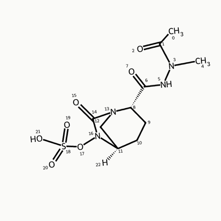 CC(=O)N(C)NC(=O)[C@@H]1CC[C@@H]2CN1C(=O)N2OS(=O)(=O)O